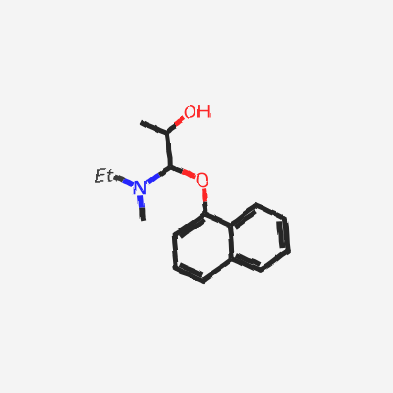 CCN(C)C(Oc1cccc2ccccc12)C(C)O